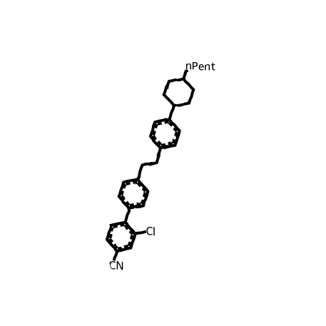 CCCCCC1CCC(c2ccc(CCc3ccc(-c4ccc(C#N)cc4Cl)cc3)cc2)CC1